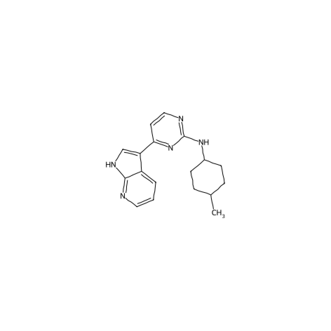 CC1CCC(Nc2nccc(-c3c[nH]c4ncccc34)n2)CC1